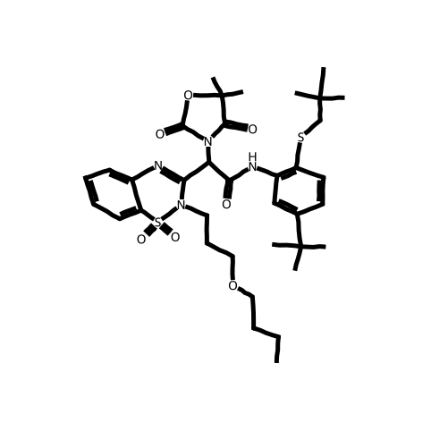 CCCCOCCCN1C(C(C(=O)Nc2cc(C(C)(C)C)ccc2SCC(C)(C)C)N2C(=O)OC(C)(C)C2=O)=Nc2ccccc2S1(=O)=O